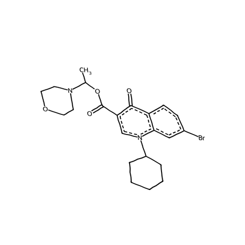 CC(OC(=O)c1cn(C2CCCCC2)c2cc(Br)ccc2c1=O)N1CCOCC1